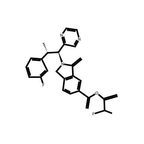 C=C(OC(=C)C(C)F)c1ccc2c(c1)C(=C)N([C@H](c1cnccn1)[C@@H](C)c1cccc(F)c1)C2